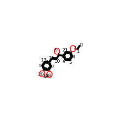 CCOc1cccc(C(=O)C=Cc2ccc3c(c2)OCO3)c1